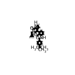 CC(C)(C)c1ccc(C(=O)Nc2cccc(-c3cn(CC4CC4)c(=O)c4[nH]ccc34)c2CO)cc1